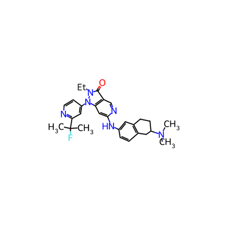 CCn1c(=O)c2cnc(Nc3ccc4c(c3)CCC(N(C)C)C4)cc2n1-c1ccnc(C(C)(C)F)c1